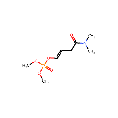 COP(=O)(OC)OC=CCC(=O)N(C)C